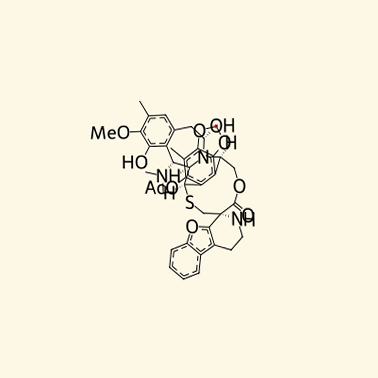 COc1c(C)cc2c(c1O)[C@@H](N(C)C)[C@@H]1[C@@H]3SC[C@@]4(NCCc5c4oc4ccccc54)C(=O)OC[C@@H](c4c5c(c(C)c(OC(C)=O)c43)OCO5)N1[C@@H](O)C2